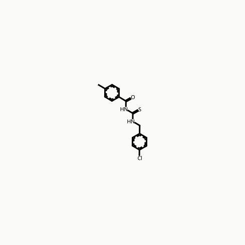 Cc1ccc(C(=O)NC(=S)NCc2ccc(Cl)cc2)cc1